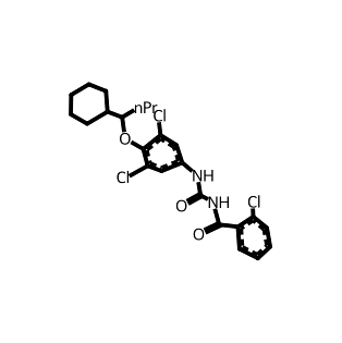 CCCC(Oc1c(Cl)cc(NC(=O)NC(=O)c2ccccc2Cl)cc1Cl)C1CCCCC1